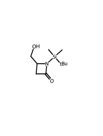 CC(C)(C)[Si](C)(C)N1C(=O)CC1CO